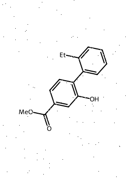 CCc1ccccc1-c1ccc(C(=O)OC)cc1O